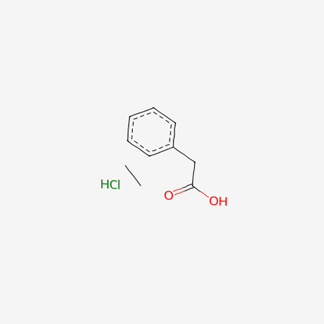 CC.Cl.O=C(O)Cc1ccccc1